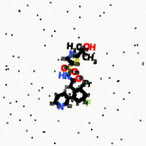 CC(C)c1cc(F)cc(-c2cccnc2)c1CC(=O)NS(=O)(=O)c1cnc(C(C)(C)O)s1